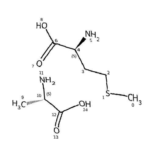 CSCC[C@H](N)C(=O)O.C[C@H](N)C(=O)O